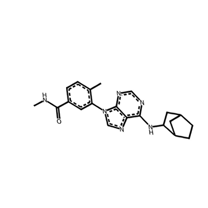 CNC(=O)c1ccc(C)c(-n2cnc3c(NC4CC5CCC4C5)ncnc32)c1